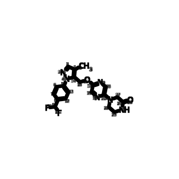 Cc1cnn(-c2ccc(C(F)F)cc2)c1COc1cnc(N2CCNC(=O)C2)cn1